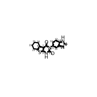 O=c1[nH]c2sc3c(c2c(=O)n1-c1ccc2[nH]nnc2c1)CCCC3